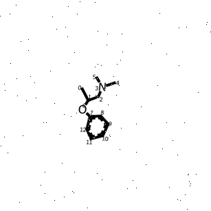 CC(CN(C)C)Oc1ccccc1